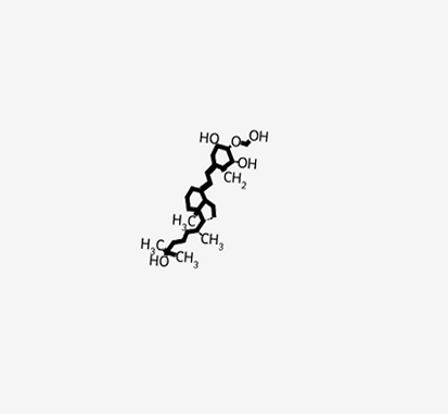 C=C1/C(=C\C=C2/CCCC3(C)C2CC[C@@H]3[C@H](C)CCCC(C)(C)O)C[C@@H](O)[C@@H](OCO)[C@@H]1O